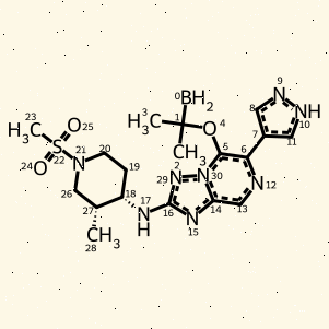 BC(C)(C)Oc1c(-c2cn[nH]c2)ncc2nc(N[C@H]3CCN(S(C)(=O)=O)C[C@H]3C)nn12